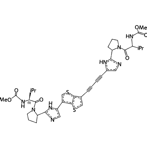 COC(=O)NC(C(=O)N1CCCC1c1ncc(C#CC#Cc2csc3c(-c4cnc(C5CCCN5C(=O)[C@@H](NC(=O)OC)C(C)C)[nH]4)csc23)[nH]1)C(C)C